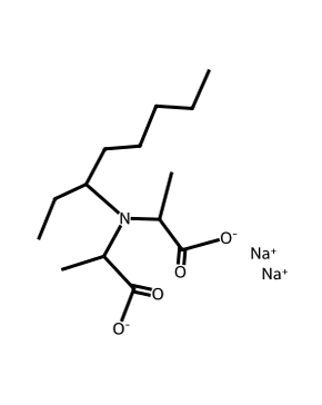 CCCCCC(CC)N(C(C)C(=O)[O-])C(C)C(=O)[O-].[Na+].[Na+]